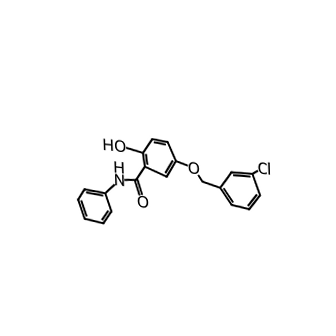 O=C(Nc1ccccc1)c1cc(OCc2cccc(Cl)c2)ccc1O